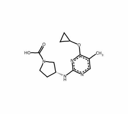 Cc1cnc(N[C@@H]2CCN(C(=O)O)C2)nc1OC1CC1